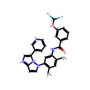 Cc1cc(C)c(-n2ccc3ncc(-c4cccnc4)n32)cc1NC(=O)c1cccc(OC(F)F)c1